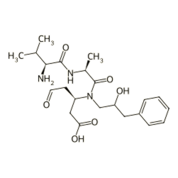 CC(C)[C@H](N)C(=O)N[C@@H](C)C(=O)N(CC(O)Cc1ccccc1)[C@H](CC=O)CC(=O)O